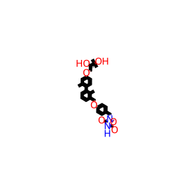 Cc1cc(OC[C@@H](O)C(C)(C)O)ccc1-c1cccc(COc2ccc(Cn3oc(=O)[nH]c3=O)cc2)c1C